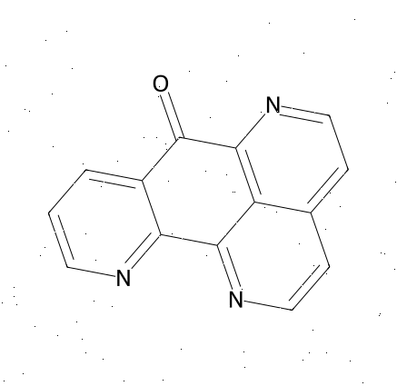 O=C1c2cccnc2-c2nccc3ccnc1c23